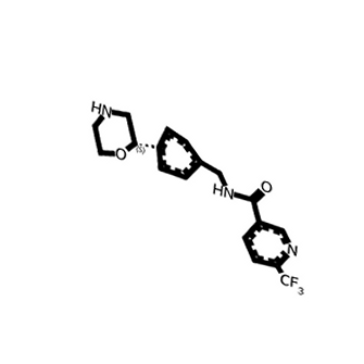 O=C(NCc1ccc([C@H]2CNCCO2)cc1)c1ccc(C(F)(F)F)nc1